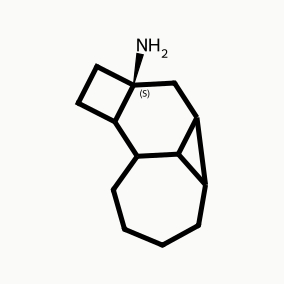 N[C@]12CCC1C1CCCCC3C(C2)C31